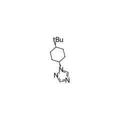 CC(C)(C)[C@H]1CC[C@@H](n2cncn2)CC1